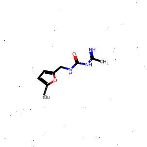 CC(=N)NC(=O)NCc1ccc(C(C)(C)C)o1